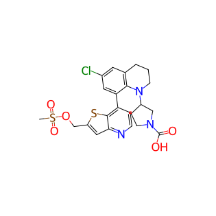 CS(=O)(=O)OCc1cc2nccc(-c3cc(Cl)cc4c3N(C3CCN(C(=O)O)C3)CCC4)c2s1